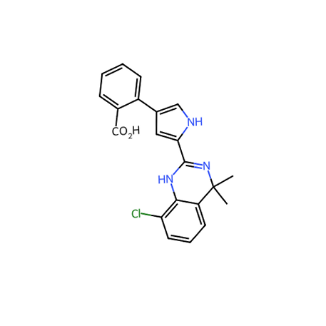 CC1(C)N=C(c2cc(-c3ccccc3C(=O)O)c[nH]2)Nc2c(Cl)cccc21